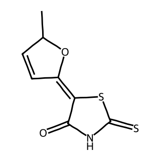 CC1C=CC(=C2SC(=S)NC2=O)O1